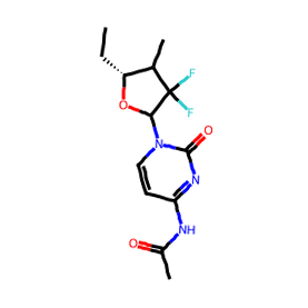 CC[C@H]1OC(n2ccc(NC(C)=O)nc2=O)C(F)(F)C1C